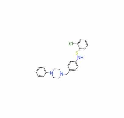 Clc1ccccc1SNc1ccc(CN2CCN(c3ccccc3)CC2)cc1